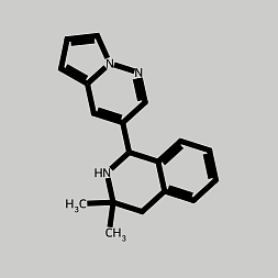 CC1(C)Cc2ccccc2C(c2cnn3cccc3c2)N1